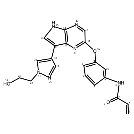 C=CC(=O)Nc1cccc(Oc2cnc3[nH]cc(-c4cnn(CCO)c4)c3n2)c1